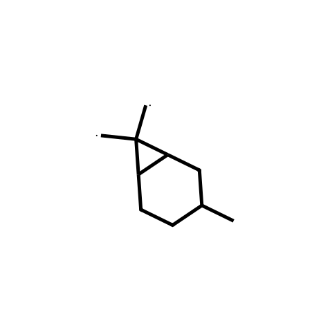 [CH2]C1([CH2])C2CCC(C)CC21